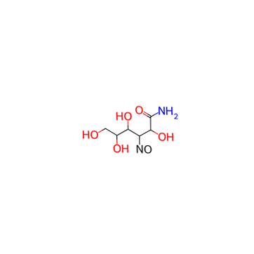 NC(=O)C(O)C(N=O)C(O)C(O)CO